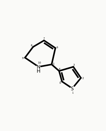 [c]1sccc1C1C=CCCN1